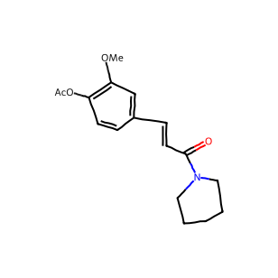 COc1cc(C=CC(=O)N2CCCCC2)ccc1OC(C)=O